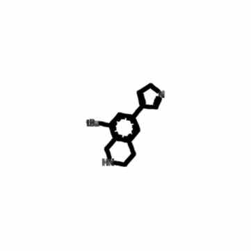 CC(C)(C)c1cc(C2=CCN=C2)cc2c1CNCC2